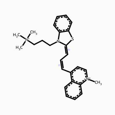 C[n+]1ccc(/C=C\C=C2\Sc3ccccc3N2CCC[N+](C)(C)C)c2ccccc21